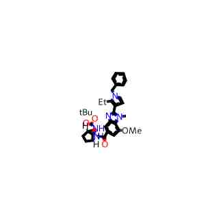 CCc1c(-c2nc3cc(C(=O)N4C[C@H]5CC[C@@H]4[C@@H]5NC(=O)OC(C)(C)C)cc(OC)c3n2C)ccn1Cc1ccccc1